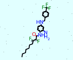 CCCCCCC[C@@H](F)[C@@H](F)C(=O)Nc1ccc(NCc2ccc(C(F)(F)F)cc2)cc1N